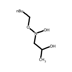 CCCCCON(O)CC(C)O